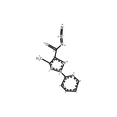 Cc1nn(-c2ccccn2)nc1C(=O)N=[N+]=[N-]